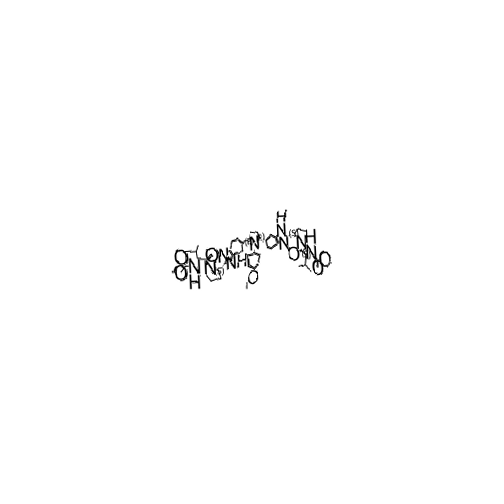 CCOc1ccc(N2[C@@H](c3ccc4nc([C@@H]5CCCN5C(=O)C(NC(=O)OC)C(C)C)[nH]c4c3)CC[C@@H]2c2ccc3nc([C@@H]4CCCN4C(=O)[C@@H](NC(=O)OC)C(C)C)[nH]c3c2)cc1